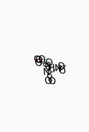 CC[C@@]1(OC(C)=O)C(=O)OCc2c1cc1n(c2=O)Cc2c-1nc1cc3c(cc1c2/C=C/CNC(=O)OC(C)(C)C)OCO3